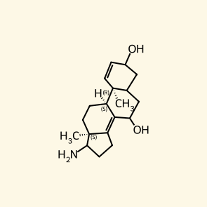 C[C@]12CC[C@@H]3C(=C1CCC2N)C(O)CC1CC(O)C=C[C@@]13C